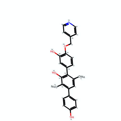 COc1cc(-c2ccc(O)cc2)c(OC)c(O)c1-c1ccc(OCc2ccncc2)c(O)c1